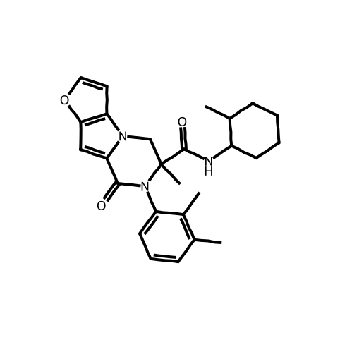 Cc1cccc(N2C(=O)c3cc4occc4n3CC2(C)C(=O)NC2CCCCC2C)c1C